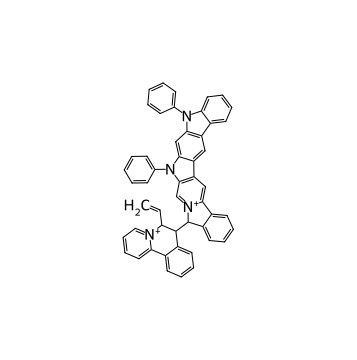 C=CC1C(C2c3ccccc3-c3cc4c5cc6c7ccccc7n(-c7ccccc7)c6cc5n(-c5ccccc5)c4c[n+]32)c2ccccc2-c2cccc[n+]21